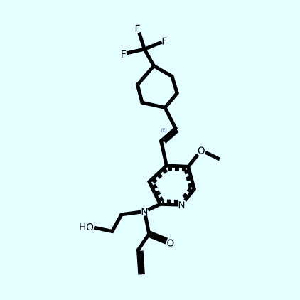 C=CC(=O)N(CCO)c1cc(/C=C/C2CCC(C(F)(F)F)CC2)c(OC)cn1